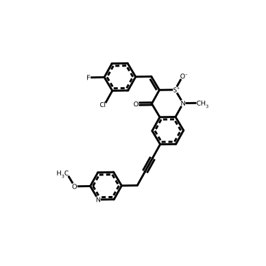 COc1ccc(CC#Cc2ccc3c(c2)C(=O)/C(=C\c2ccc(F)c(Cl)c2)[S+]([O-])N3C)cn1